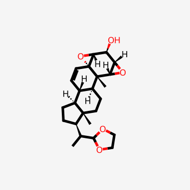 CC(C1OCCO1)[C@H]1CC[C@H]2[C@@H]3C=C[C@@]45O[C@@H]4[C@@H](O)[C@@H]4O[C@@H]4[C@]5(C)[C@H]3CC[C@]12C